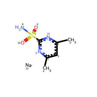 Cc1cc(C)nc(S(N)(=O)=O)n1.[Na]